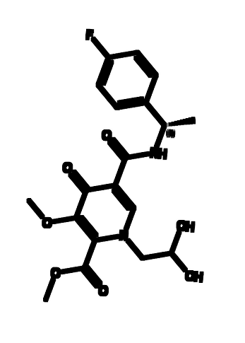 COC(=O)c1c(OC)c(=O)c(C(=O)N[C@@H](C)c2ccc(F)cc2)cn1CC(O)O